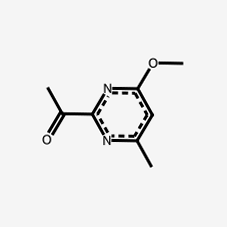 COc1cc(C)nc(C(C)=O)n1